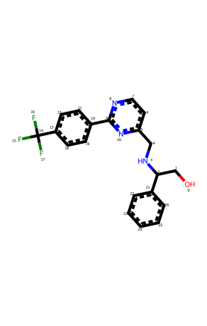 OCC(NCc1ccnc(-c2ccc(C(F)(F)F)cc2)n1)c1ccccc1